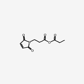 CCC(=O)OC(=O)CCN1C(=O)C=CC1=O